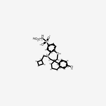 O=C(O)NS(=O)(=O)c1ccc2c(c1)N(CC1CCC1)CC1(CCCc3cc(Cl)ccc31)CO2